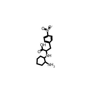 NC1CCCCC1NC(Cc1ccc([N+](=O)[O-])cc1)C(=O)O